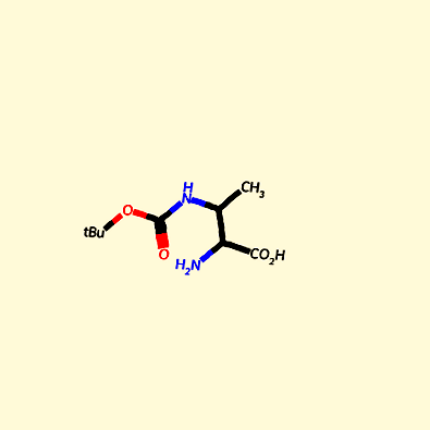 CC(NC(=O)OC(C)(C)C)C(N)C(=O)O